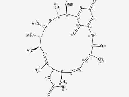 CO[C@H]1[C@H](C)/C=C(\C)C(OC(N)=O)[C@H](C)/C=C\C=C(/C)C(=O)NC2=CC(=O)C=C(C2=O)[C@H](OC)[C@@H](C)C[C@H]1OC